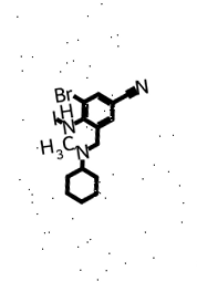 CN(Cc1cc(C#N)cc(Br)c1NI)C1CCCCC1